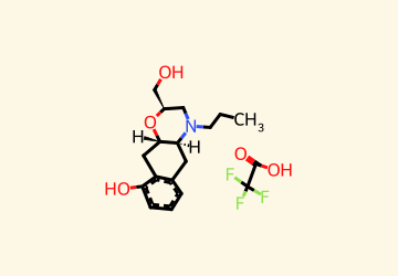 CCCN1C[C@H](CO)O[C@H]2Cc3c(O)cccc3C[C@@H]21.O=C(O)C(F)(F)F